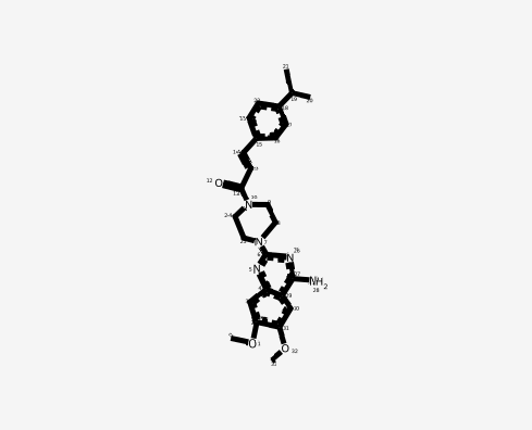 COc1cc2nc(N3CCN(C(=O)C=Cc4ccc(C(C)C)cc4)CC3)nc(N)c2cc1OC